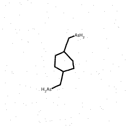 [AsH2]CC1CCC(C[AsH2])CC1